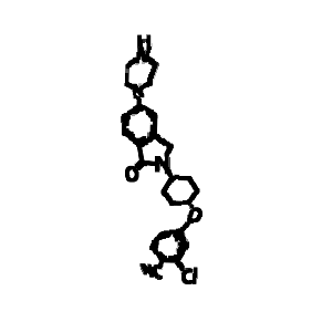 N#Cc1ccc(O[C@H]2CC[C@H](N3Cc4cc(N5CCNCC5)ccc4C3=O)CC2)cc1Cl